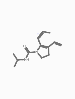 C=CC1=C(/C=C\C)N(C(=O)NC(C)C)CC1